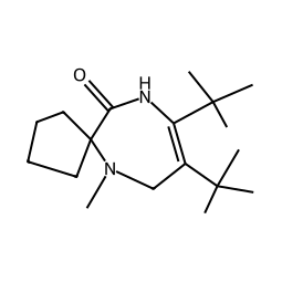 CN1CC(C(C)(C)C)=C(C(C)(C)C)NC(=O)C12CCCC2